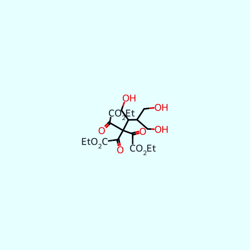 CCOC(=O)C(=O)C(C(=O)C(=O)OCC)(C(=O)C(=O)OCC)C(CO)C(CO)CO